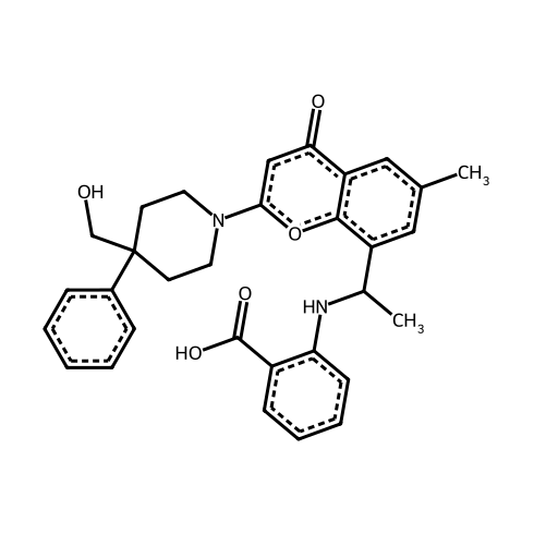 Cc1cc(C(C)Nc2ccccc2C(=O)O)c2oc(N3CCC(CO)(c4ccccc4)CC3)cc(=O)c2c1